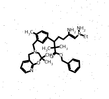 CCN(N)/C=C(\N)CCC(c1ccc(C)c(CN2Cc3cccnc3OC(C)(C)C2)c1)C(C)(C)C(=O)OCc1ccccc1